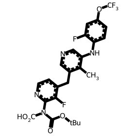 Cc1c(Cc2ccnc(N(C(=O)O)C(=O)OC(C)(C)C)c2F)cncc1Nc1ccc(OC(F)(F)F)cc1F